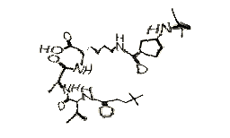 CC(C)[C@H](NC(=O)CCC(C)(C)C)C(=O)N[C@@H](C)C(=O)N[C@@H](CCCCNC(=O)[C@@H]1CC[C@H](NC(C)(C)C)C1)C(=O)O